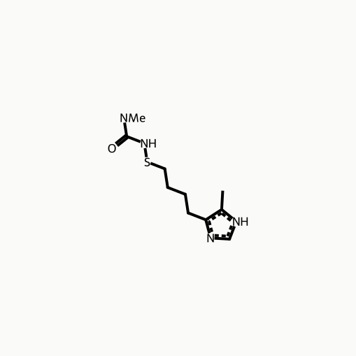 CNC(=O)NSCCCCc1nc[nH]c1C